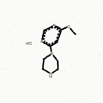 COc1cc(N2CCNCC2)ncn1.Cl